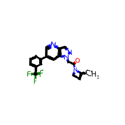 CC1CCN1C(=O)Cn1ncc2ncc(-c3cccc(C(F)(F)F)c3)cc21